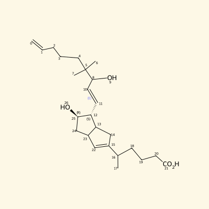 C=CCCCC(C)(C)C(O)/C=C/[C@@H]1C2CC(C(C)CCCC(=O)O)=CC2C[C@H]1O